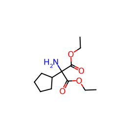 CCOC(=O)C(N)(C(=O)OCC)C1CCCC1